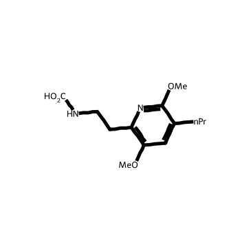 CCCc1cc(OC)c(CCNC(=O)O)nc1OC